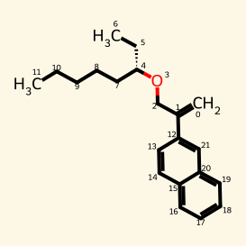 C=C(CO[C@@H](CC)CCCCC)c1ccc2ccccc2c1